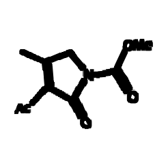 COC(=O)N1CC(C)=C(C(C)=O)C1=O